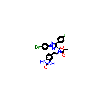 C[C@@H]1O[C@@H](c2nn(-c3ccc(Br)cc3)nc2-c2ccc(F)cc2)N(CCc2ccc3[nH]c(=O)[nH]c3c2)C1=O